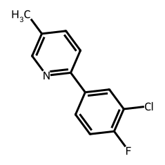 Cc1ccc(-c2ccc(F)c(Cl)c2)nc1